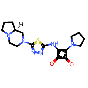 O=c1c(Nc2nnc(N3CCN4CCC[C@H]4C3)s2)c(N2CCCC2)c1=O